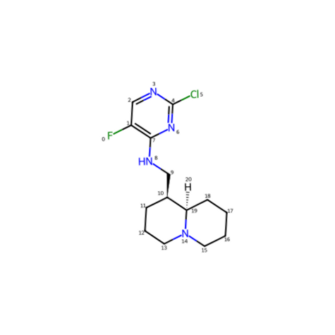 Fc1cnc(Cl)nc1NC[C@@H]1CCCN2CCCC[C@H]12